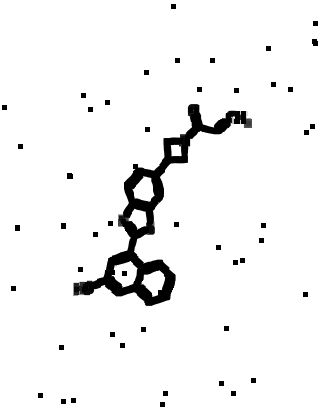 C=CC(=O)N1CC(c2ccc3nc(-c4cc(O)cc5ccccc45)sc3c2)C1